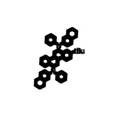 CC(C)(C)c1ccc2c(c1)c(N(c1ccccc1)c1ccc3c(c1)CCCC3)cc1c3ccccc3c(N(c3ccccc3)c3ccc4c(c3)CCCC4)cc21